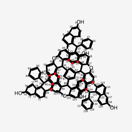 Oc1ccc2c3c(ccc2c1)Oc1ccc2c4c(ccc2c1C3c1ccccc1)Oc1ccc2cc(O)ccc2c1C4c1cc(C2c3c(ccc4cc(O)ccc34)Oc3ccc4c5c(ccc4c32)Oc2ccc3cc(O)ccc3c2C5c2ccccc2)cc(C2c3c(ccc4cc(O)ccc34)Oc3ccc4c5c(ccc4c32)Oc2ccc3cc(O)ccc3c2C5c2ccccc2)c1